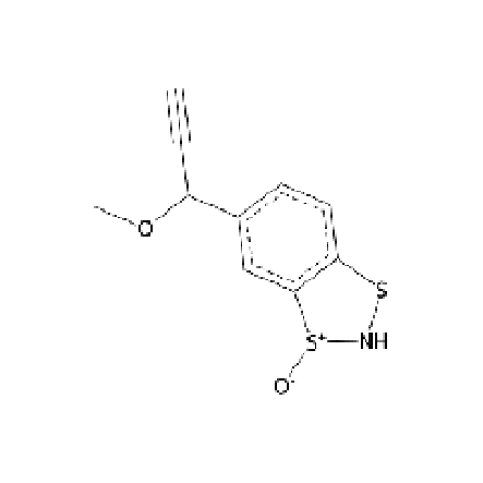 C#CC(OC)c1ccc2c(c1)[S+]([O-])NS2